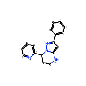 c1ccc(-c2cc3n(n2)C(c2ccccn2)CCN3)cc1